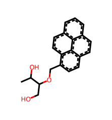 CC(O)C(CO)OCc1ccc2ccc3cccc4ccc1c2c34